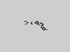 C[C@@H](c1cccc(-c2ncc(OCC3CCNCC3)cn2)c1)n1c2c(ccc1=O)-c1cc(C#N)ccc1C2=O